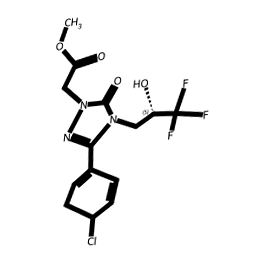 COC(=O)Cn1nc(C2=CCC(Cl)C=C2)n(C[C@H](O)C(F)(F)F)c1=O